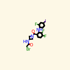 O=C(CBr)NC1CN(C(=O)c2ccc(F)c(F)c2Nc2ccc(I)cc2F)C1